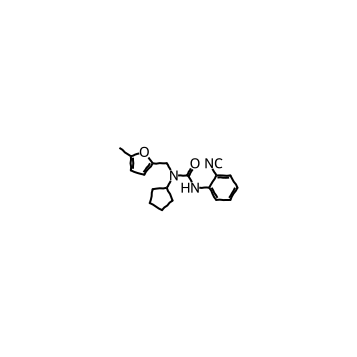 Cc1ccc(CN(C(=O)Nc2ccccc2C#N)C2CCCC2)o1